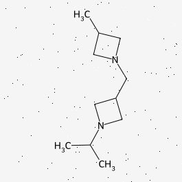 CC1CN(CC2CN(C(C)C)C2)C1